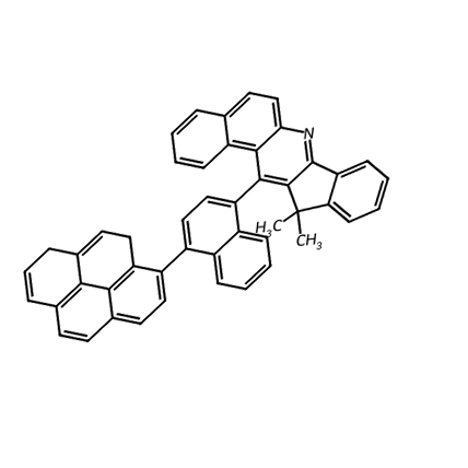 CC1(C)c2ccccc2-c2nc3ccc4ccccc4c3c(-c3ccc(-c4ccc5ccc6c7c5c4CC=C7CC=C6)c4ccccc34)c21